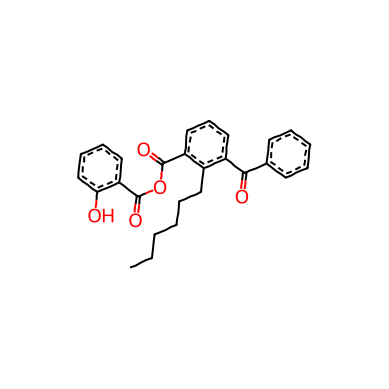 CCCCCCc1c(C(=O)OC(=O)c2ccccc2O)cccc1C(=O)c1ccccc1